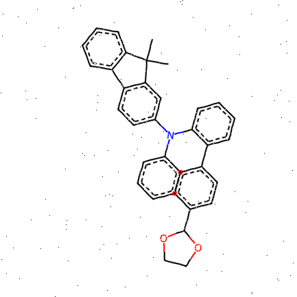 CC1(C)c2ccccc2-c2ccc(N(c3ccccc3)c3ccccc3-c3ccc(C4OCCO4)cc3)cc21